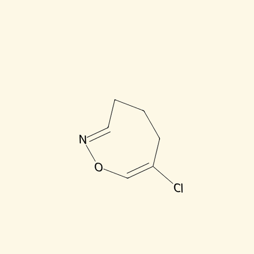 Cl/C1=C/O/N=C/CCC1